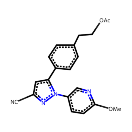 COc1ccc(-n2nc(C#N)cc2-c2ccc(CCOC(C)=O)cc2)cn1